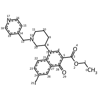 CCOC(=O)c1cn(C2CCCN(Cc3ccncc3)C2)c2ccc(I)cc2c1=O